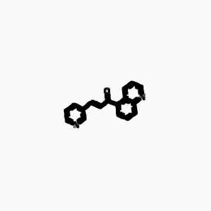 O=C(C=Cc1cccnc1)c1cccc2ncccc12